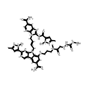 CCn1nc(C)cc1C(=O)Nc1nc2cc(C(N)=O)cnc2n1C/C=C/Cn1c2nc(-c3cc(C)nn3CC)ncc2c2cc(C(N)=O)cc(OCCCN(C)C(=O)CONC(=O)OC(C)(C)C)c21